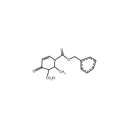 CCOC(=O)C1C(=O)C=CN(C(=O)OCc2ccccc2)C1C